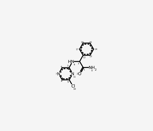 NC(=O)C(Nc1cncc(Cl)n1)c1ccccc1